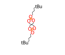 CC(C)(C)CCCCOP1OCC2(CO1)COP(OCCCCC(C)(C)C)OC2